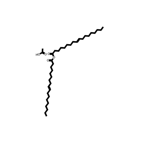 CC(=O)O.CCCCCCCCC=CCCCCCCCC(=O)OC(=O)CCCCCCCC=CCCCCCCCC